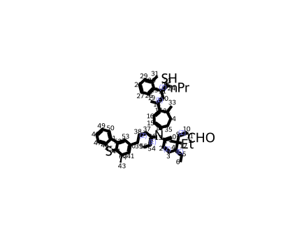 C=C(/C=C\C(=C/C)C(C)(/C=C\C=O)CC)N(C1=CC=C(/C(C)=C/C(=C(/S)CCC)c2ccccc2C)C(C)CC1)C(/C=C\CC1=C[C@@H](C)C2Sc3ccccc3C2=C1)=C/C